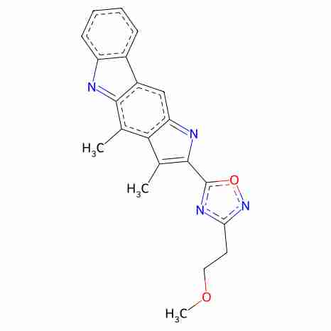 COCCc1noc(C2=C(C)c3c(C)c4c(cc3=N2)-c2ccccc2N=4)n1